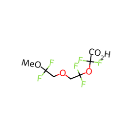 COC(F)(F)COCC(F)(F)OC(F)(F)C(=O)O